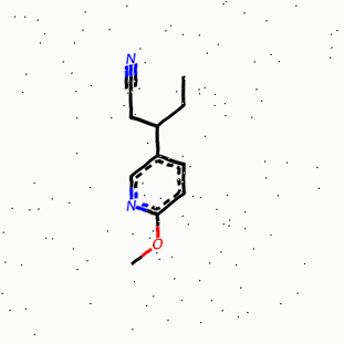 CCC(CC#N)c1ccc(OC)nc1